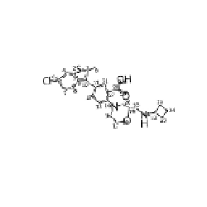 Cc1sc2cc(Cl)ccc2c1-c1ccc(N2CCO[C@@H](CNC3CCC3)C2)c(C(=O)O)c1